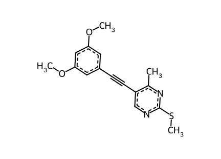 COc1cc(C#Cc2cnc(SC)nc2C)cc(OC)c1